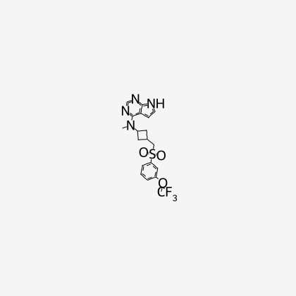 CN(c1ncnc2[nH]ccc12)C1CC(CS(=O)(=O)c2cccc(OC(F)(F)F)c2)C1